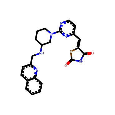 O=C1NC(=O)C(=Cc2ccnc(N3CCCC(NCc4ccc5ccccc5n4)C3)n2)S1